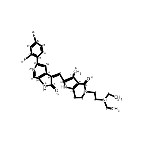 CCN(CC)CCN1CCc2[nH]c(C=C3C(=O)Nc4cnc(-c5ccc(F)cc5F)cc43)c(C)c2C1=O